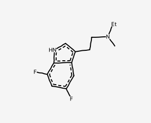 CCN(C)CCc1c[nH]c2c(F)cc(F)cc12